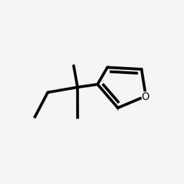 CCC(C)(C)c1[c]occ1